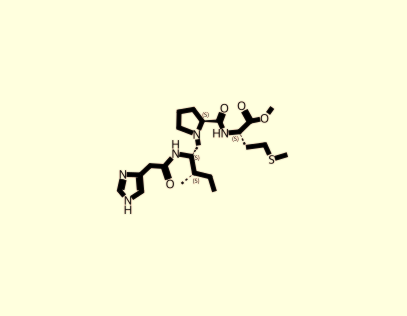 CC[C@H](C)[C@@H](CN1CCC[C@H]1C(=O)N[C@@H](CCSC)C(=O)OC)NC(=O)Cc1c[nH]cn1